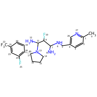 Cc1ccc(CNC(N)C(F)C(N)N2CCC[C@@H]2c2ccc(C(F)(F)F)cc2F)cn1